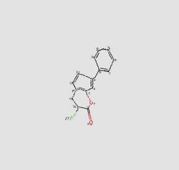 O=C1Oc2cc(-c3ccccc3)ccc2CC1F